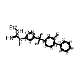 CCNC(=N)Nc1cc(C(C)(C)c2ccc(-c3ccccc3)c(F)c2)no1